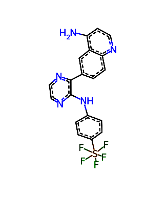 Nc1ccnc2ccc(-c3nccnc3Nc3ccc(S(F)(F)(F)(F)F)cc3)cc12